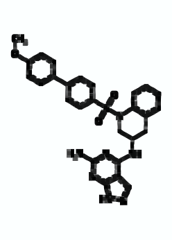 COc1ccc(-c2ccc(S(=O)(=O)N3CC(Nc4nc(N)nc5[nH]ncc45)Cc4ccccc43)cc2)cc1